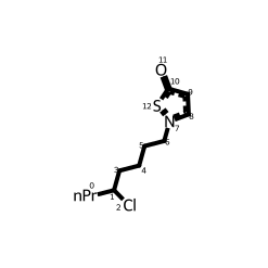 CCCC(Cl)CCCCn1ccc(=O)s1